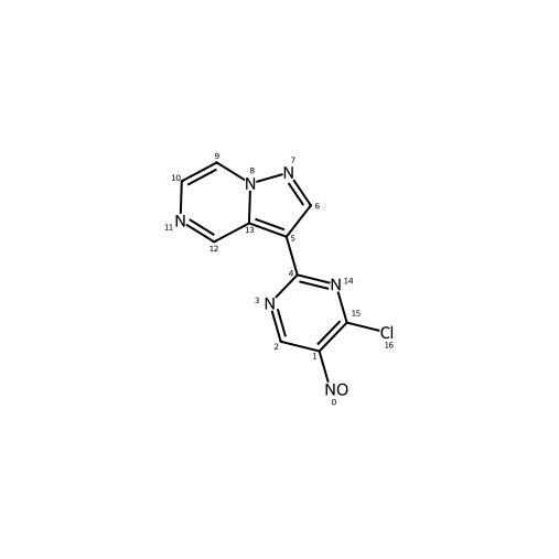 O=Nc1cnc(-c2cnn3ccncc23)nc1Cl